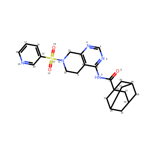 O=C(Nc1ncnc2c1CCN(S(=O)(=O)c1cccnc1)C2)C12CC3CC(CC(C3)C1)C2